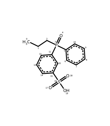 CCCP(=O)(c1ccccc1)c1cccc(S(=O)(=O)O)c1